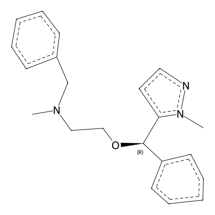 CN(CCO[C@H](c1ccccc1)c1ccnn1C)Cc1ccccc1